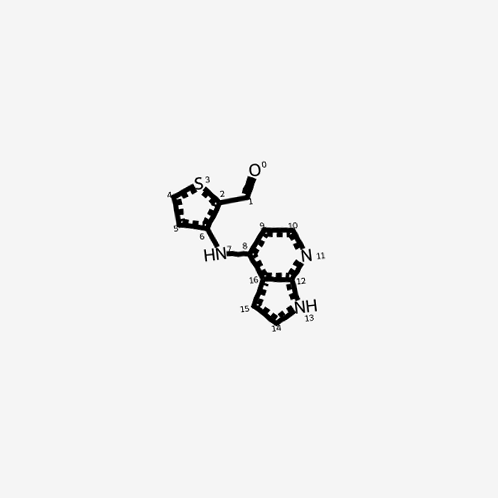 O=Cc1sccc1Nc1ccnc2[nH]ccc12